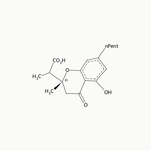 CCCCCc1cc(O)c2c(c1)O[C@@](C)(C(C)C(=O)O)CC2=O